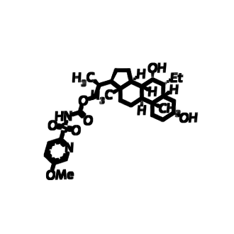 CC[C@H]1[C@@H](O)[C@@H]2[C@H](CC[C@]3(C)[C@@H]([C@H](C)COC(=O)NS(=O)(=O)c4ccc(OC)cn4)CC[C@@H]23)[C@@]2(C)CC[C@@H](O)C[C@@H]12